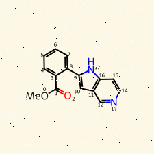 COC(=O)c1ccccc1-c1cc2cnccc2[nH]1